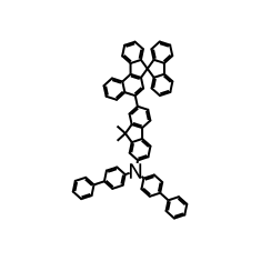 CC1(C)c2cc(-c3cc4c(c5ccccc35)-c3ccccc3C43c4ccccc4-c4ccccc43)ccc2-c2ccc(N(c3ccc(-c4ccccc4)cc3)c3ccc(-c4ccccc4)cc3)cc21